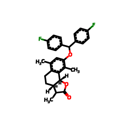 Cc1cc(OC(c2ccc(F)cc2)c2ccc(F)cc2)c(C)c2c1CC[C@H]1C(C)C(=O)O[C@@H]21